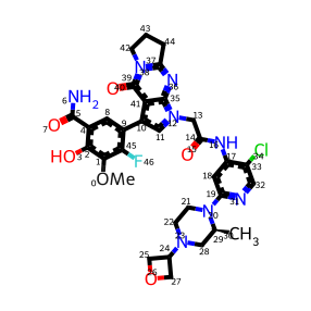 COc1c(O)c(C(N)=O)cc(-c2cn(CC(=O)Nc3cc(N4CCN(C5COC5)C[C@@H]4C)ncc3Cl)c3nc4n(c(=O)c23)CCC4)c1F